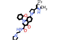 C/C=C(\NC)C1CCN(c2ccc3c(=O)c(C(=O)NCCN4CCCC4)cn4c3c2Oc2ccccc2-4)C1